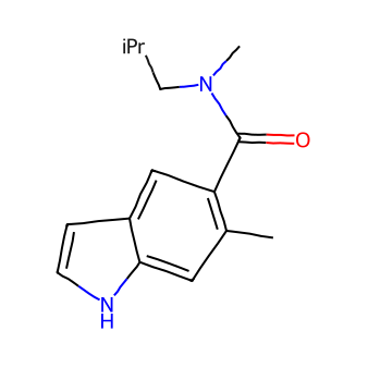 Cc1cc2[nH]ccc2cc1C(=O)N(C)CC(C)C